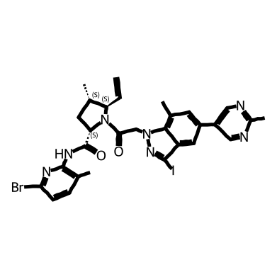 C=C[C@@H]1[C@@H](C)C[C@@H](C(=O)Nc2nc(Br)ccc2C)N1C(=O)Cn1nc(I)c2cc(-c3cnc(C)nc3)cc(C)c21